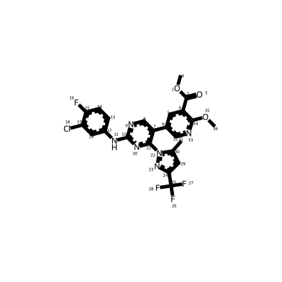 COC(=O)c1cc(-c2cnc(Nc3ccc(F)c(Cl)c3)nc2-n2nc(C(F)(F)F)cc2C)cnc1OC